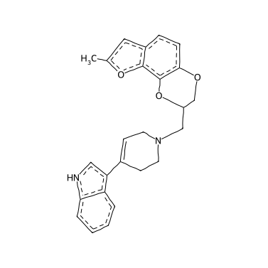 Cc1cc2ccc3c(c2o1)OC(CN1CC=C(c2c[nH]c4ccccc24)CC1)CO3